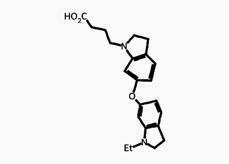 CCN1CCc2ccc(Oc3ccc4c(c3)N(CCCC(=O)O)CC4)cc21